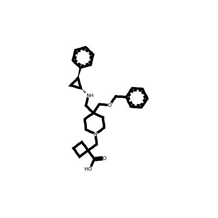 O=C(O)C1(CN2CCC(CN[C@@H]3C[C@H]3c3ccccc3)(COCc3ccccc3)CC2)CCC1